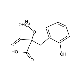 COC(Cc1ccccc1O)(C(=O)O)C(=O)O